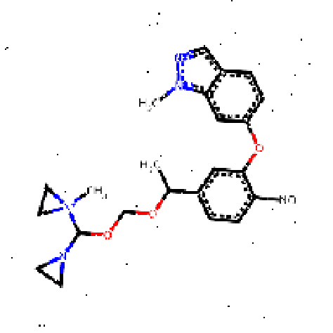 CC(OCOC(N1CC1)[N+]1(C)CC1)c1ccc(N=O)c(Oc2ccc3cnn(C)c3c2)c1